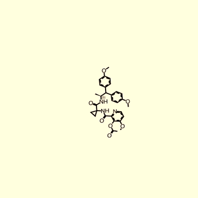 COc1ccc(C(c2ccc(OC)cc2)[C@H](C)NC(=O)C2(NC(=O)c3nccc(OC)c3OC(C)=O)CC2)cc1